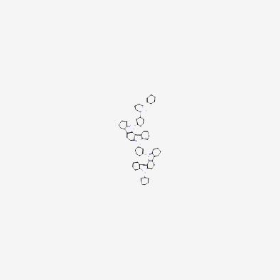 c1ccc(-c2cccc(-c3cccc(-n4c5ccccc5c5ccc6c(c7ccccc7n6-c6cccc(-n7c8ccccc8c8ccc9c(c%10ccccc%10n9-c9ccccc9)c87)c6)c54)c3)n2)cc1